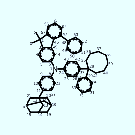 CC1(C)c2ccc(N(c3ccc(C45CC6CC(CC(C6)C4)C5)cc3)c3ccc(C4(c5ccccc5)CCCCCCC4)cc3)cc2-c2c(-c3ccccc3)cccc21